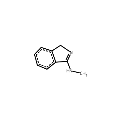 CNC1=NCc2ccccc21